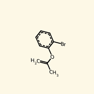 C=C(C)Oc1ccccc1Br